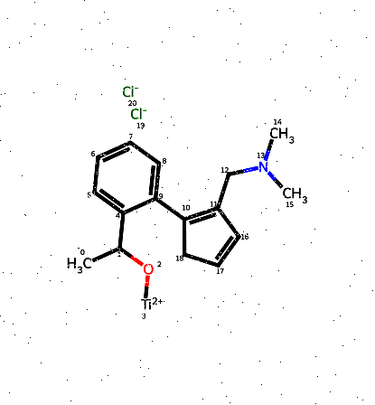 CC([O][Ti+2])c1ccccc1C1=C(CN(C)C)C=CC1.[Cl-].[Cl-]